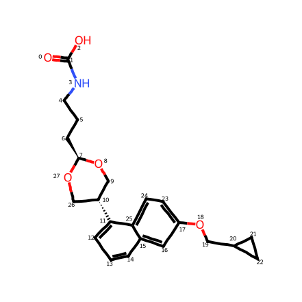 O=C(O)NCCC[C@H]1OC[C@H](c2cccc3cc(OCC4CC4)ccc32)CO1